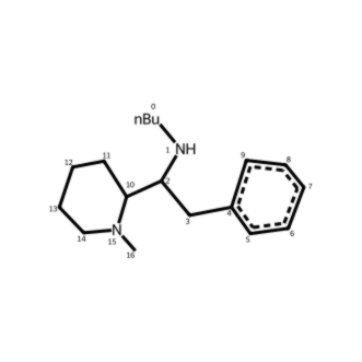 CCCCNC(Cc1ccccc1)C1CCCCN1C